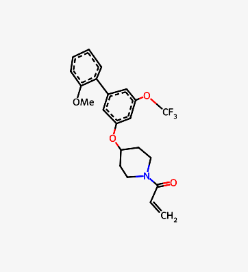 C=CC(=O)N1CCC(Oc2cc(OC(F)(F)F)cc(-c3ccccc3OC)c2)CC1